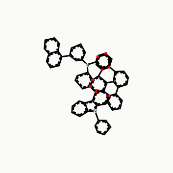 c1ccc(-c2ccccc2-c2c(-c3ccccc3)cccc2-c2cccc(N(c3cccc(-c4cccc5ccccc45)c3)c3cccc(-c4cccc5c4c4ccccc4n5-c4ccccc4)c3)c2)cc1